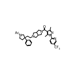 CC(=O)N1CCC(CCN2CC3CN(C(=O)c4c(C)nn(-c5ccc(C(F)(F)F)cn5)c4C)CC3C2)(c2ccccc2)C1